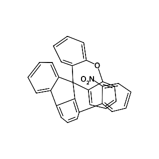 O=[N+]([O-])c1ccccc1-c1cccc2c1C1(c3ccccc3Oc3ccccc31)c1ccccc1-2